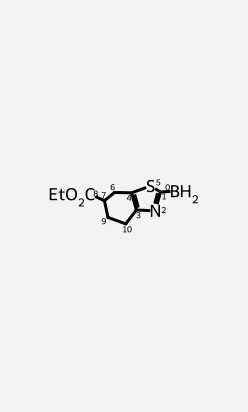 Bc1nc2c(s1)CC(C(=O)OCC)CC2